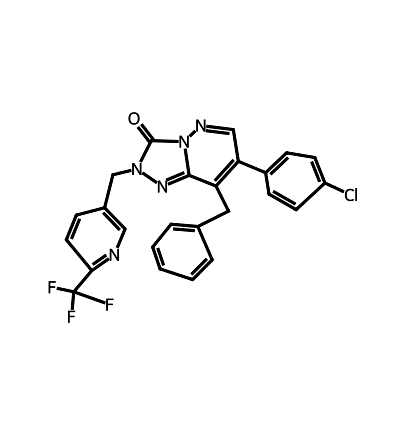 O=c1n(Cc2ccc(C(F)(F)F)nc2)nc2c(Cc3ccccc3)c(-c3ccc(Cl)cc3)cnn12